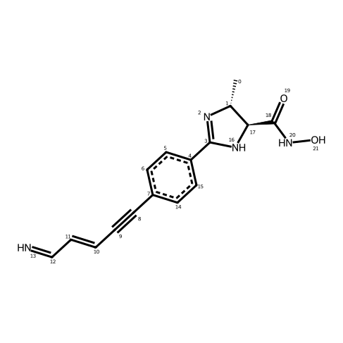 C[C@H]1N=C(c2ccc(C#C/C=C/C=N)cc2)N[C@@H]1C(=O)NO